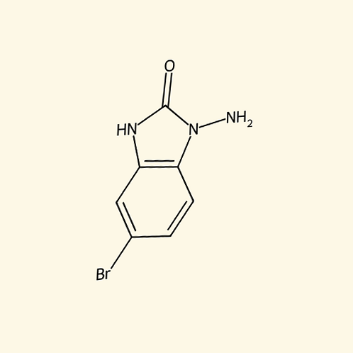 Nn1c(=O)[nH]c2cc(Br)ccc21